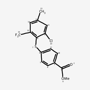 COC(=O)c1ccc(Sc2c(Cl)cc(C)cc2C(F)(F)F)cc1